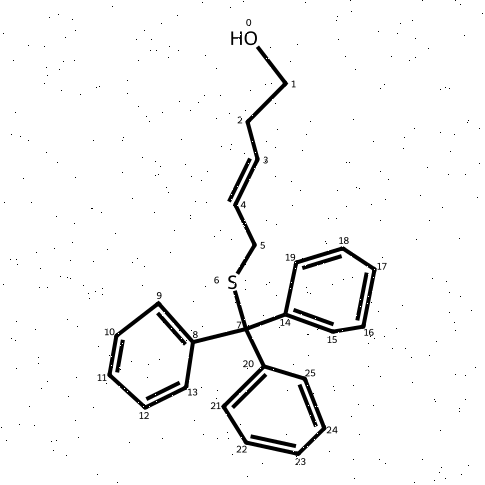 OCC/C=C/CSC(c1ccccc1)(c1ccccc1)c1ccccc1